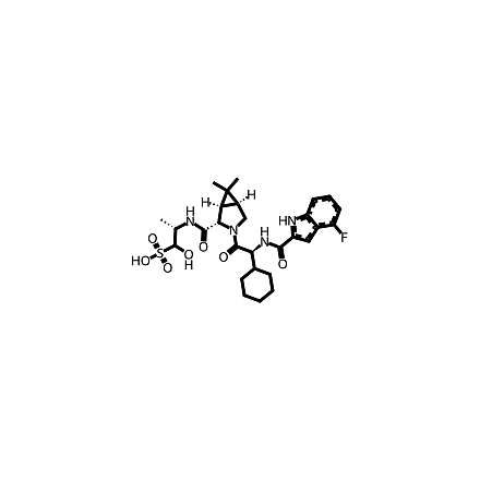 C[C@H](NC(=O)[C@@H]1[C@@H]2[C@H](CN1C(=O)[C@@H](NC(=O)c1cc3c(F)cccc3[nH]1)C1CCCCC1)C2(C)C)C(O)S(=O)(=O)O